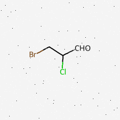 O=CC(Cl)CBr